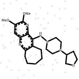 COc1cc2nc3c(c(NN4CCN(C5CCOC5)CC4)c2nc1OC)CCCCC3